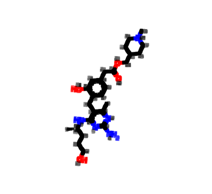 Cc1nc(N)nc(N[C@@H](C)CCCO)c1Cc1ccc(CC(=O)OCC2CCN(C)CC2)cc1O